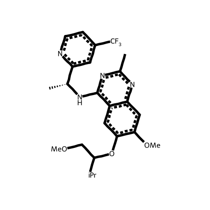 COCC(Oc1cc2c(N[C@H](C)c3cc(C(F)(F)F)ccn3)nc(C)nc2cc1OC)C(C)C